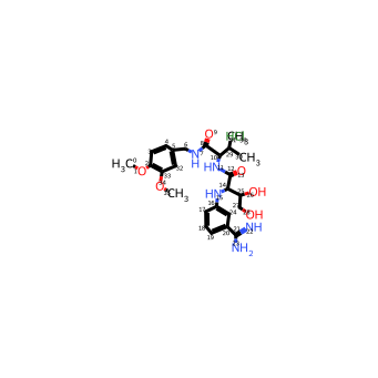 COc1ccc(CNC(=O)C(NC(=O)C(Nc2cccc(C(=N)N)c2)C(O)CO)C(C)C)cc1OC.Cl